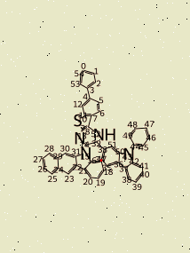 c1ccc(-c2ccc3c4c(sc3c2)N=C(n2c3ccccc3c3cc5ccccc5cc32)C(c2ccc3c5ccccc5n(-c5ccccc5)c3c2)N4)cc1